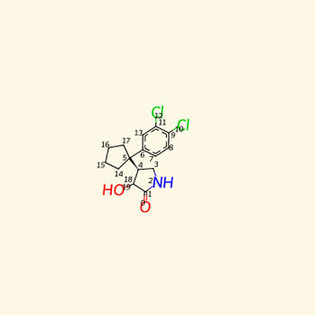 O=C1NC[C@H](C2(c3ccc(Cl)c(Cl)c3)CCCC2)C1O